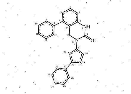 O=C1Nc2cccc(-c3ccccc3)c2CN1c1csc(-c2ccncc2)n1